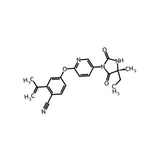 C=C(C)c1cc(Oc2ccc(N3C(=O)N[C@](C)(CC)C3=O)cn2)ccc1C#N